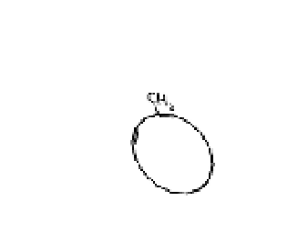 C/C1=C/CCCCCCCCCCC/C=C\C1